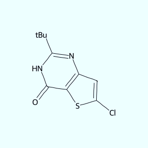 CC(C)(C)c1nc2cc(Cl)sc2c(=O)[nH]1